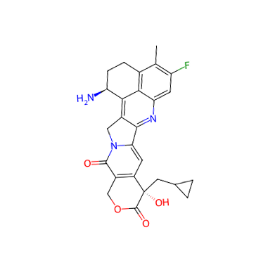 Cc1c(F)cc2nc3c(c4c2c1CC[C@@H]4N)Cn1c-3cc2c(c1=O)COC(=O)[C@]2(O)CC1CC1